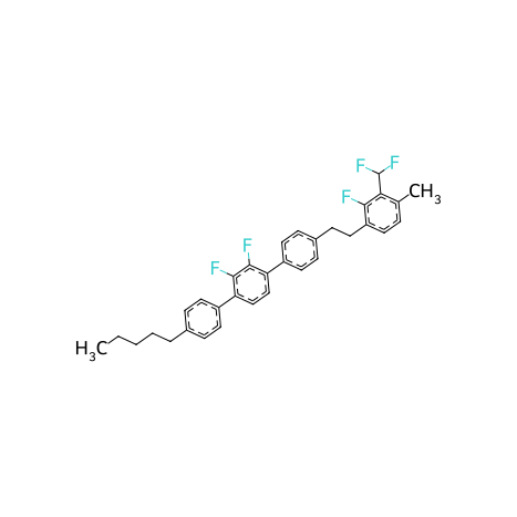 CCCCCc1ccc(-c2ccc(-c3ccc(CCc4ccc(C)c(C(F)F)c4F)cc3)c(F)c2F)cc1